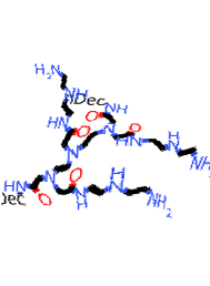 CCCCCCCCCCNC(=O)CN(CCN(CCN(CC(=O)NCCCCCCCCCC)CC(=O)NCCNCCN)CC(=O)NCCNCCN)CC(=O)NCCNCCN